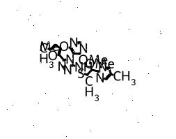 COc1ncnc(OC)c1-n1c(NSC(C)C(OC)c2ncc(C)cn2)nnc1-c1ccc(C)o1